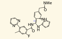 CNC(=O)CC1=CC(=N)/C(=C(/NC(=O)c2cc(-c3ncccn3)c(C)cc2F)Nc2ccccc2)C=C1